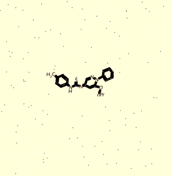 CCCOc1cc(=NC(=S)Nc2ccc(C)cc2)cnn1-c1ccccc1